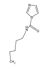 [CH2]CCCCNC(=O)n1ccnc1